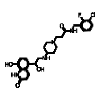 O=C(CCN1CCC(NCC(O)c2ccc(O)c3[nH]c(=O)ccc23)CC1)NCc1cccc(Cl)c1F